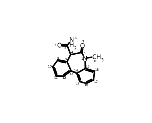 CN1C(=O)C(C(N)=O)c2ccccc2-c2ccccc21